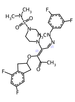 CC(=O)/C(OC1Cc2cc(F)cc(F)c2C1)=C(\C=N/N(C)c1cc(F)cc(F)c1)N1CCN(S(=O)(=O)N(C)C)CC1